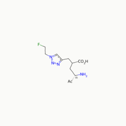 CC(=O)[C@@H](N)CC(Cc1cn(CCF)nn1)C(=O)O